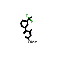 C=C(/C=C(/C)C(=C)c1cccc(C(C)(F)F)c1)OC